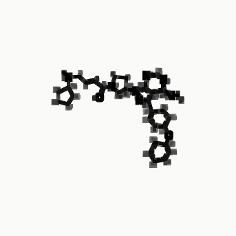 CN(CC=CC(=O)N1CC[C@@H](n2nc(-c3ccc(Oc4ccccc4)cc3)c3c(N)ncnc32)C1)C1CCCC1